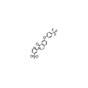 CS(=O)(=O)c1ccnc(N2CCc3ccc(Oc4ccc(C(F)(F)F)cc4)cc3C2=O)c1